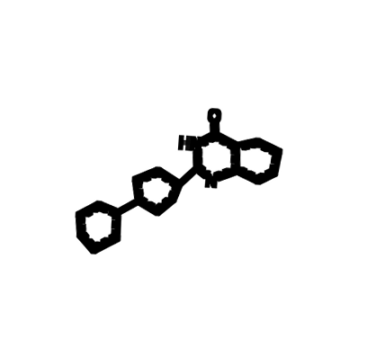 O=c1[nH]c(-c2ccc(-c3ccccc3)cc2)nc2ccccc12